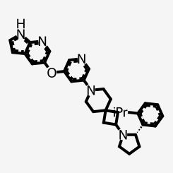 CC(C)c1ccccc1[C@@H]1CCCN1C1CC2(CCN(c3cncc(Oc4cnc5[nH]ccc5c4)c3)CC2)C1